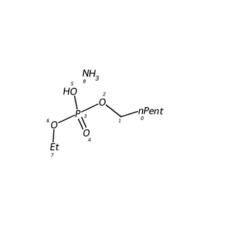 CCCCCCOP(=O)(O)OCC.N